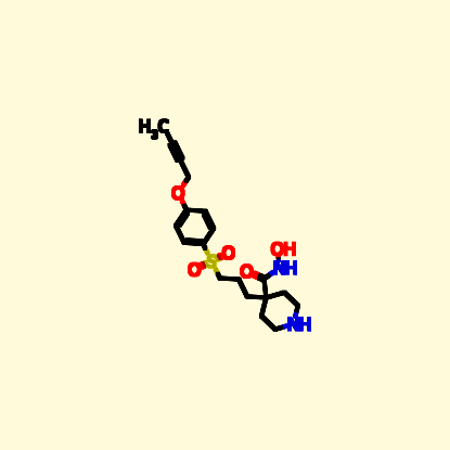 CC#CCOc1ccc(S(=O)(=O)CCCC2(C(=O)NO)CCNCC2)cc1